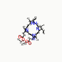 C=CC1=C(C)c2cc3[nH]c(cc4nc(cc5[nH]c(cc1n2)c(C)c5CCC(=O)OCC)C(CCC(=O)OCC)=C4C)c(C)c3C=C